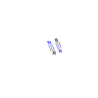 B#N.[N]#[Al]